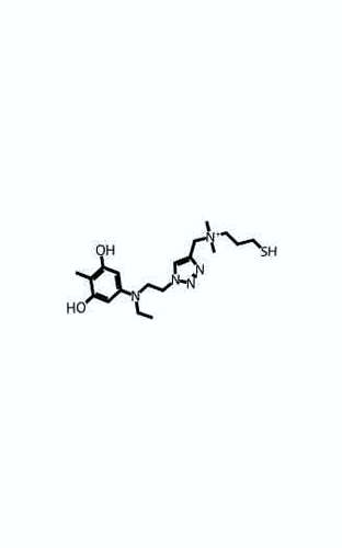 CCN(CCn1cc(C[N+](C)(C)CCCS)nn1)c1cc(O)c(C)c(O)c1